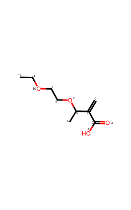 C=C(C(=O)O)C(C)OCCOCC